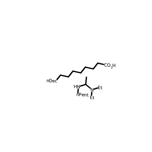 CCCCCCCCCCCCCCCCCC(=O)O.CCCCCNC(C)N(CC)CC